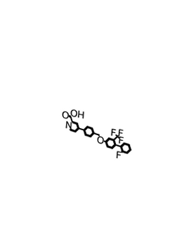 O=C(O)c1cc(-c2ccc(COc3ccc(-c4ccccc4F)c(C(F)(F)F)c3)cc2)ccn1